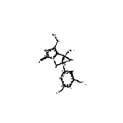 OCc1[nH]c(=S)n2c1[C@@H]1C[C@]1(c1cc(F)cc(F)c1)C2